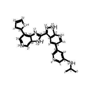 CC(C)Nc1cncc(-c2cnc3[nH]nc(-c4nc5c(-c6cccs6)cncc5[nH]4)c3c2)c1